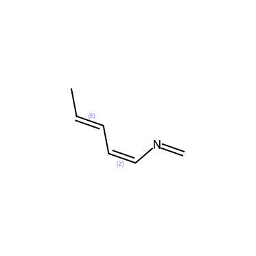 C=N/C=C\C=C\C